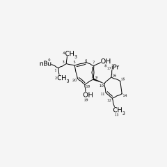 CCCCC(C)C(C)c1cc(O)c([C@@H]2C=C(C)CCC2C(C)C)c(O)c1